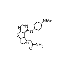 CN[C@H]1CC[C@H](Oc2ncnc3c2C2C(CC[C@@H]2CC(N)=O)S3)CC1